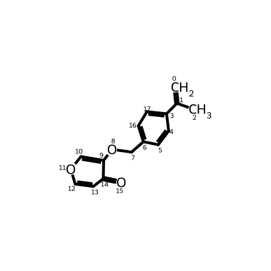 C=C(C)c1ccc(COc2coccc2=O)cc1